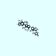 Cc1c(-c2[nH]c3sc([C@@H]4C[C@@H]5C[C@H]4CN5C(=O)[C@H]4C[C@H](F)CN4)c(C)c3c2C(C)C)cn2ncnc2c1C